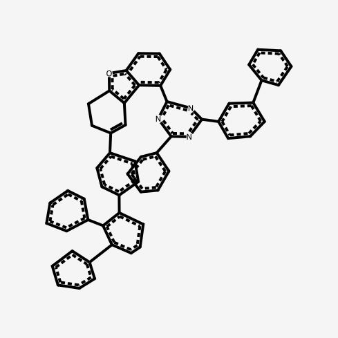 C1=C(c2ccc(-c3cccc(-c4ccccc4)c3-c3ccccc3)cc2)CCc2oc3cccc(-c4nc(-c5ccccc5)nc(-c5cccc(-c6ccccc6)c5)n4)c3c21